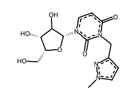 Cn1ccc(Cn2c(=O)ccn([C@@H]3O[C@H](CO)[C@H](O)C3O)c2=O)n1